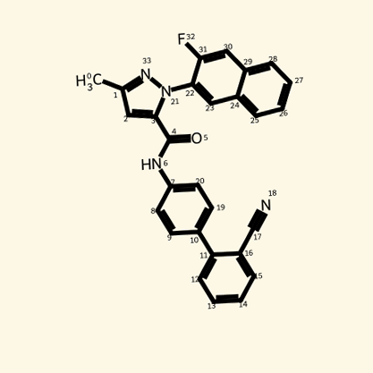 Cc1cc(C(=O)Nc2ccc(-c3ccccc3C#N)cc2)n(-c2cc3ccccc3cc2F)n1